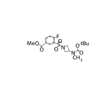 COC(=O)c1ccc(F)c(S(=O)(=O)N2CC(N(C)C(=O)OC(C)(C)C)C2)c1